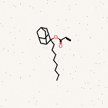 C=CC(=O)OC1(CCCCCCCC)C2CC3CC(C2)CC1C3